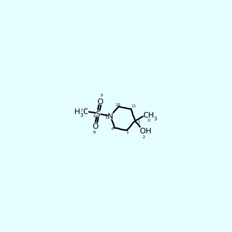 CC1(O)CCN(S(C)(=O)=O)CC1